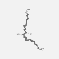 CCCCCCCCCC(CCCCCCCCN=C=O)C(CCCCCCCCC)CCCCCCCCOC#N